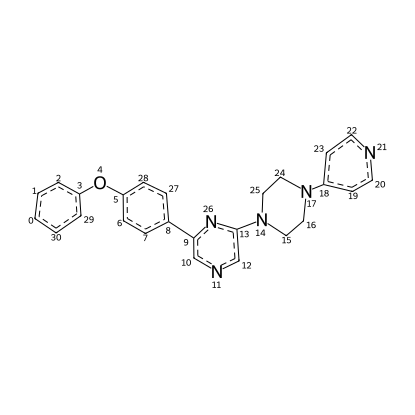 c1ccc(Oc2ccc(-c3cncc(N4CCN(c5ccncc5)CC4)n3)cc2)cc1